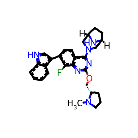 CN1CCC[C@H]1COc1nc(N2C[C@H]3CC[C@@H](C2)N3)c2ccc(-c3c[nH]c4ccccc34)c(F)c2n1